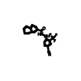 N#Cc1ccc(NNC(=O)c2ccc3ccccc3c2)c(C(F)(F)F)c1